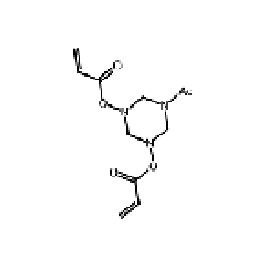 C=CC(=O)ON1CN(OC(=O)C=C)CN(C(C)=O)C1